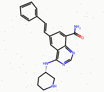 NC(=O)c1cc(C=Cc2ccccc2)cc2c(N[C@H]3CCCNC3)ncnc12